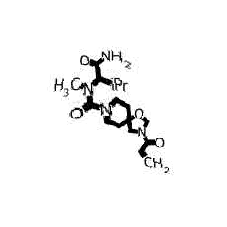 C=CC(=O)N1COC2(CCN(C(=O)N(C)C(C(N)=O)C(C)C)CC2)C1